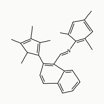 CC1=C(C)C(C)C(c2ccc3ccccc3c2/C=N/c2c(C)cc(C)cc2C)=C1C